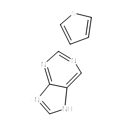 c1ccsc1.c1ncc2[nH]cnc2n1